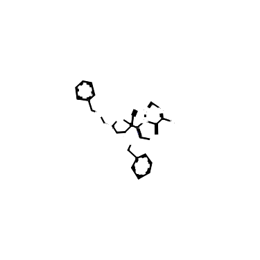 C=C1C(N)=NC=NN1/C(=C\C)C1(C#N)O[C@H](COCc2ccccc2)C[C@H]1OCc1ccccc1